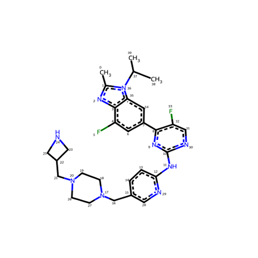 Cc1nc2c(F)cc(-c3nc(Nc4ccc(CN5CCN(CC6CNC6)CC5)cn4)ncc3F)cc2n1C(C)C